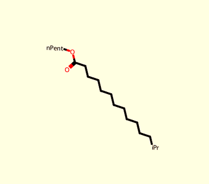 CCCCCOC(=O)CCCCCCCCCCCC(C)C